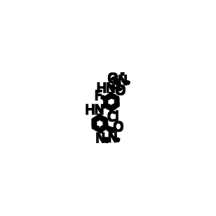 CN(C)S(=O)(=O)Nc1ccc(Cl)c(Nc2ccc3ncn(C)c(=O)c3c2)c1F